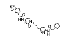 O=C(Cc1ccccc1)Nc1ccc(CCCCn2ccc(NC(=O)Cc3cccc(OC(F)(F)F)c3)nc2=O)nn1